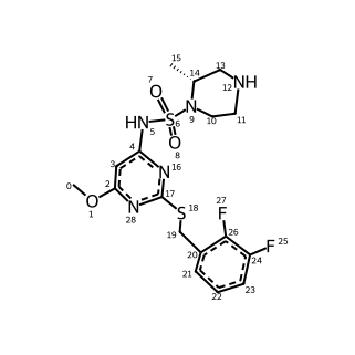 COc1cc(NS(=O)(=O)N2CCNC[C@H]2C)nc(SCc2cccc(F)c2F)n1